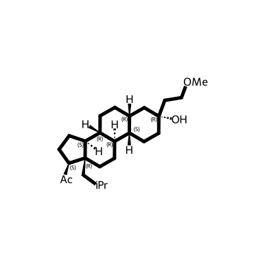 COCC[C@@]1(O)CC[C@H]2[C@H](CC[C@@H]3[C@@H]2CC[C@]2(CC(C)C)[C@@H](C(C)=O)CC[C@@H]32)C1